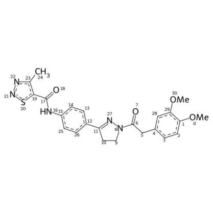 COc1ccc(CC(=O)N2CCC(c3ccc(NC(=O)c4snnc4C)cc3)=N2)cc1OC